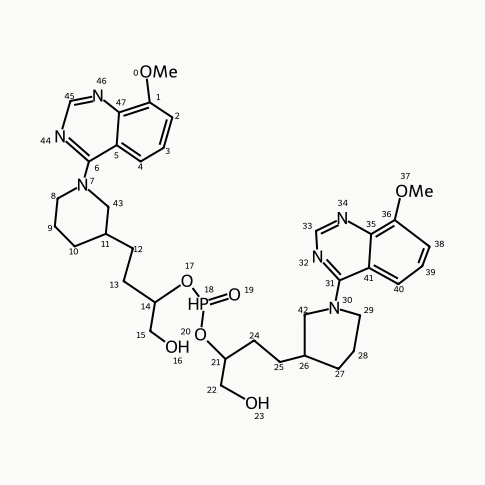 COc1cccc2c(N3CCCC(CCC(CO)O[PH](=O)OC(CO)CCC4CCCN(c5ncnc6c(OC)cccc56)C4)C3)ncnc12